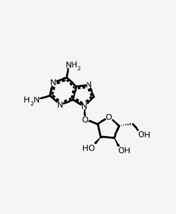 Nc1nc(N)c2ncn(OC3O[C@H](CO)[C@@H](O)[C@H]3O)c2n1